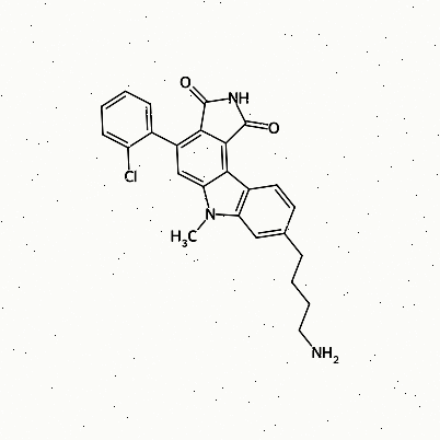 Cn1c2cc(CCCCN)ccc2c2c3c(c(-c4ccccc4Cl)cc21)C(=O)NC3=O